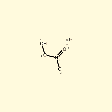 O=[N+]([O-])OO.[Y+3]